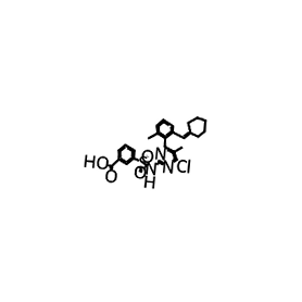 Cc1cccc(C=C2CCCCC2)c1-c1nc(NS(=O)(=O)c2cccc(C(=O)O)c2)nc(Cl)c1C